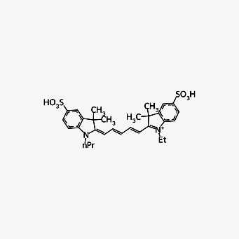 CCCN1/C(=C/C=C/C=C/C2=[N+](CC)c3ccc(S(=O)(=O)O)cc3C2(C)C)C(C)(C)c2cc(S(=O)(=O)O)ccc21